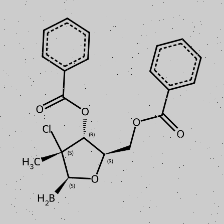 B[C@@H]1O[C@H](COC(=O)c2ccccc2)[C@@H](OC(=O)c2ccccc2)[C@@]1(C)Cl